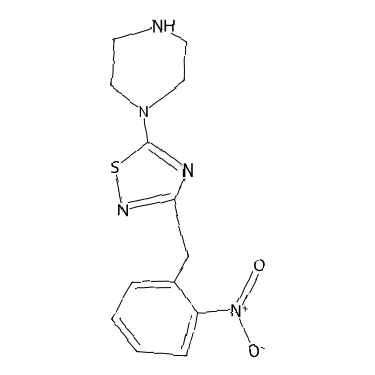 O=[N+]([O-])c1ccccc1Cc1nsc(N2CCNCC2)n1